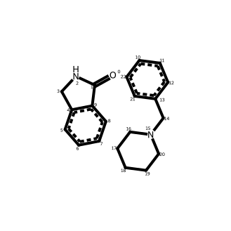 O=C1NCc2ccccc21.c1ccc(CN2CCCCC2)cc1